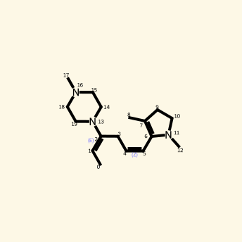 C/C=C(\C/C=C\C1=C(C)CCN1C)N1CCN(C)CC1